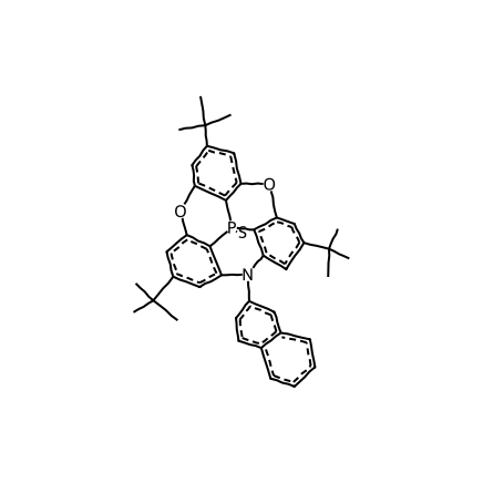 CC(C)(C)c1cc2c3c(c1)Oc1cc(C(C)(C)C)cc4c1P3(=S)c1c(cc(C(C)(C)C)cc1N4c1ccc3ccccc3c1)O2